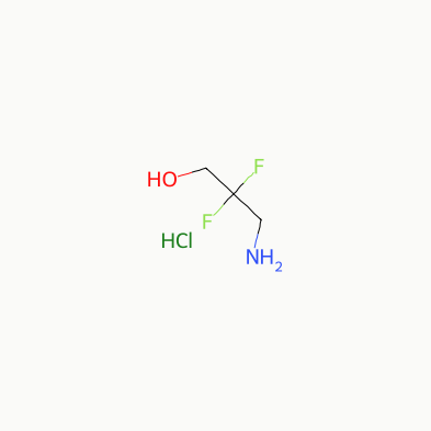 Cl.NCC(F)(F)CO